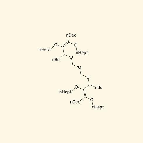 CCCCCCCCCCC(OCCCCCCC)=C(OCCCCCCC)C(CCCC)OCOCOC(CCCC)C(OCCCCCCC)=C(CCCCCCCCCC)OCCCCCCC